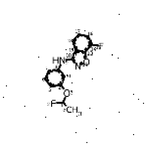 CC(F)Oc1cccc(Nc2noc3c(F)cccc23)c1